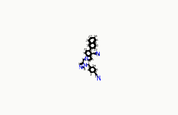 N#Cc1ccc(Cn2cncc2Cn2ccc3c(C#N)c(-c4ccc5ccccc5c4)ccc32)cc1